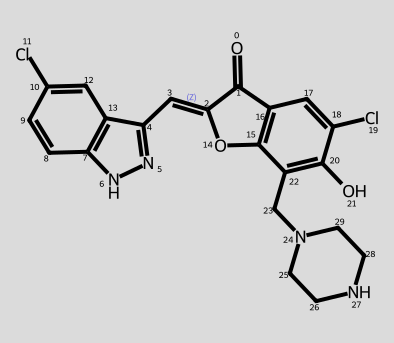 O=C1/C(=C/c2n[nH]c3ccc(Cl)cc23)Oc2c1cc(Cl)c(O)c2CN1CCNCC1